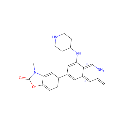 C=C/C=c1/cc(C2C=c3c(oc(=O)n3C)=CC2)cc(NC2CCNCC2)/c1=C/N